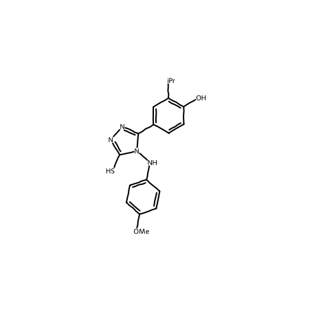 COc1ccc(Nn2c(S)nnc2-c2ccc(O)c(C(C)C)c2)cc1